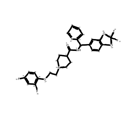 O=C(NC(c1ccc2c(c1)OC(F)(F)O2)c1ccccn1)C1CCN(CCOc2ccc(F)cc2F)CC1